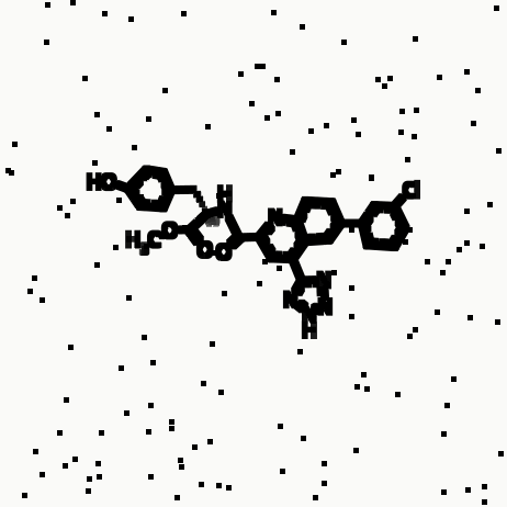 COC(=O)[C@H](Cc1ccc(O)cc1)NC(=O)c1cc(-c2nn[nH]n2)c2cc(-c3cccc(Cl)c3)ccc2n1